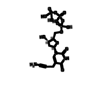 NC#CCc1cn([C@H]2C[C@H](O)[C@@H](COP(=O)(O)OP(=O)(O)OP(=O)(O)O)O2)c(=O)[nH]c1=O